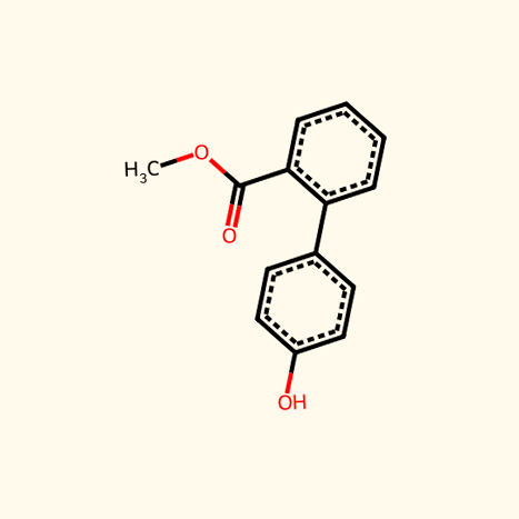 COC(=O)c1ccccc1-c1ccc(O)cc1